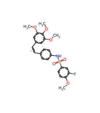 COc1ccc(S(=O)(=O)Nc2ccc(/C=C\c3cc(OC)c(OC)c(OC)c3)cc2)cc1F